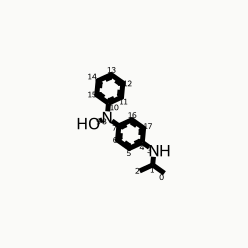 CC(C)Nc1ccc(N(O)c2ccccc2)cc1